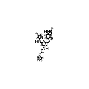 Cc1cc(Nc2cc(NCCCn3ccnc3)nc(Oc3ccc4[nH]c(C)cc4c3F)n2)n[nH]1